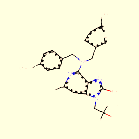 CCCCCc1cc2c(nc(O)n2CC(C)(C)O)c(N(Cc2ccc(OC)cc2)Cc2ccc(OC)cc2)n1